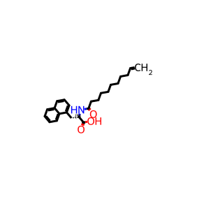 C=CCCCCCCCCC(=O)N[C@@H](Cc1cccc2ccccc12)C(=O)O